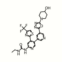 CCNC(=O)Nc1cc(-c2nc(C(F)(F)F)cs2)c(-c2cncc(-c3nnc(N4CCC(O)CC4)o3)c2)cn1